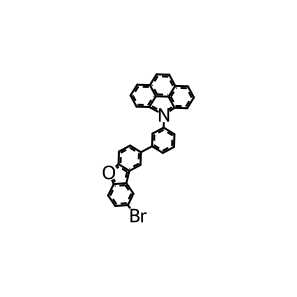 Brc1ccc2oc3ccc(-c4cccc(-n5c6cccc7ccc8cccc5c8c76)c4)cc3c2c1